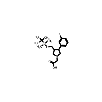 CC(C)(C)[Si](C)(C)OCC1CN(CC(=O)O)CC1c1cccc(F)c1